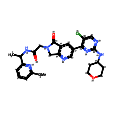 COc1cccc(C(C)NC(=O)CN2Cc3ncc(-c4nc(NC5CCOCC5)ncc4Cl)cc3C2=O)n1